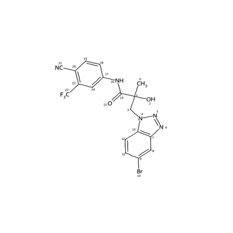 CC(O)(Cn1nnc2cc(Br)ccc21)C(=O)Nc1ccc(C#N)c(C(F)(F)F)c1